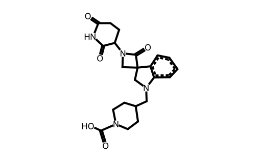 O=C1CCC(N2CC3(CN(CC4CCN(C(=O)O)CC4)c4ccccc43)C2=O)C(=O)N1